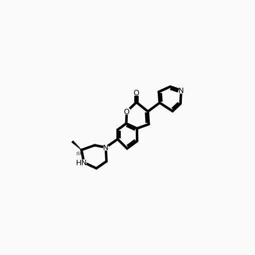 C[C@H]1CN(c2ccc3cc(-c4ccncc4)c(=O)oc3c2)CCN1